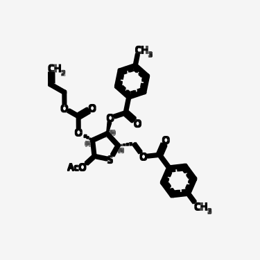 C=CCOC(=O)O[C@H]1C(OC(C)=O)S[C@@H](COC(=O)c2ccc(C)cc2)[C@@H]1OC(=O)c1ccc(C)cc1